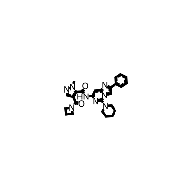 Cn1ncc(C(=O)N2CCC2)c1C(=O)Nc1cc2nc(-c3ccccc3)cn2c(N2CCCCC2)n1